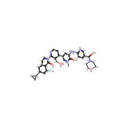 Cn1cc(-c2ccnc(-n3ccc4cc(C5CC5)cc(F)c4c3=O)c2CO)cc(Nc2ccc(C(=O)N3CCOCC3)cn2)c1=O